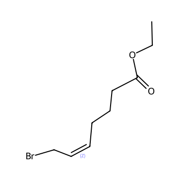 CCOC(=O)CCC/C=C\CBr